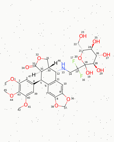 COc1cc([C@@H]2c3cc4c(cc3[C@@H](NCC(F)(F)C3(O)O[C@H](CO)[C@@H](O)[C@H](O)[C@H]3O)[C@H]3COC(=O)[C@H]23)OCO4)cc(OC)c1OC